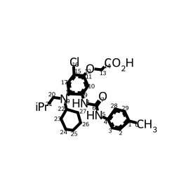 Cc1ccc(NC(=O)Nc2cc(OCC(=O)O)c(Cl)cc2N(CC(C)C)C2CCCCC2)cc1